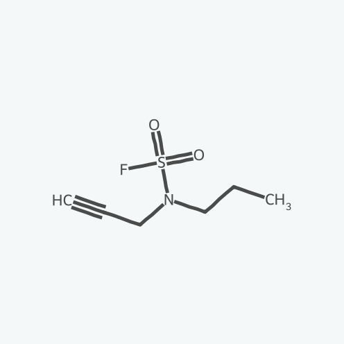 C#CCN(CCC)S(=O)(=O)F